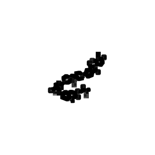 CNC(=O)COc1cc2cc(Nc3nc(N4CCN(CC5(O)CCN(c6ccc7c(c6)C(=O)N(C6CCC(=O)NC6=O)C7=O)CC5)CC4)ncc3Cl)ccc2n(C)c1=O